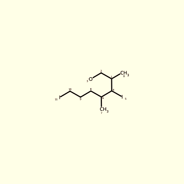 CC(C[O])C(I)C(C)CCCI